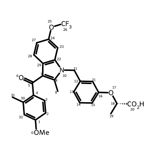 COc1ccc(C(=O)c2c(C)n(Cc3cccc(O[C@@H](C)C(=O)O)c3)c3cc(OC(F)(F)F)ccc23)c(C)c1